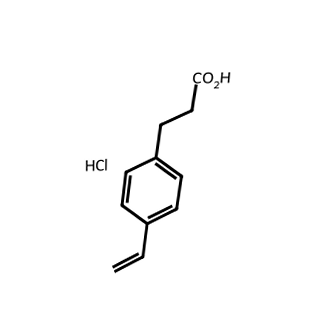 C=Cc1ccc(CCC(=O)O)cc1.Cl